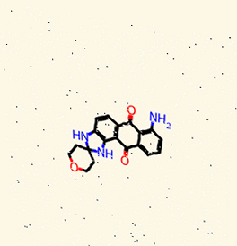 Nc1cccc2c1C(=O)c1ccc3c(c1C2=O)NC1(CCOCC1)N3